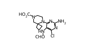 Nc1nc(Cl)c(NC=O)c(N2CCN(C(=O)O)CC23CCC3)n1